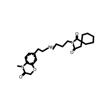 CN1C(=O)COc2cc(CCNCCCCN3C(=O)CC4(CCCCC4)C3=O)ccc21